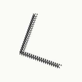 [K+].[K+].[K+].[K+].[K+].[K+].[K+].[K+].[K+].[K+].[K+].[K+].[K+].[K+].[K+].[K+].[K+].[K+].[K+].[K+].[K+].[K+].[K+].[K+].[K+].[K+].[K+].[K+].[K+].[K+].[K+].[K+].[K+].[K+].[K+].[K+].[K+].[K+].[K+]